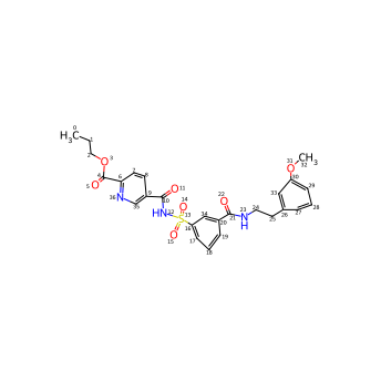 CCCOC(=O)c1ccc(C(=O)NS(=O)(=O)c2cccc(C(=O)NCCc3cccc(OC)c3)c2)cn1